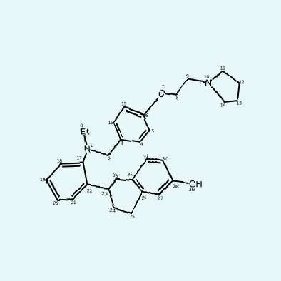 CCN(Cc1ccc(OCCN2CCCC2)cc1)c1ccccc1C1CCc2cc(O)ccc2C1